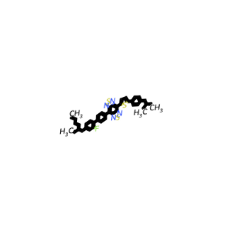 CCCCCC(CC)Cc1ccc(-c2ccc(-c3c4c(c(-c5ccc(-c6ccc(CC(CC)CC)cc6)s5)c5nsnc35)N=S=N4)cc2)c(F)c1